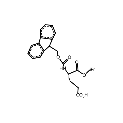 CC(C)OC(=O)[C@H](CCC(=O)O)NC(=O)OCC1c2ccccc2-c2ccccc21